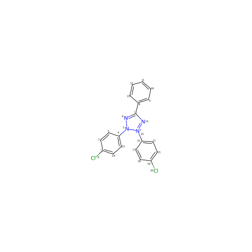 Clc1ccc(-n2nc(-c3ccccc3)n[n+]2-c2ccc(Cl)cc2)cc1